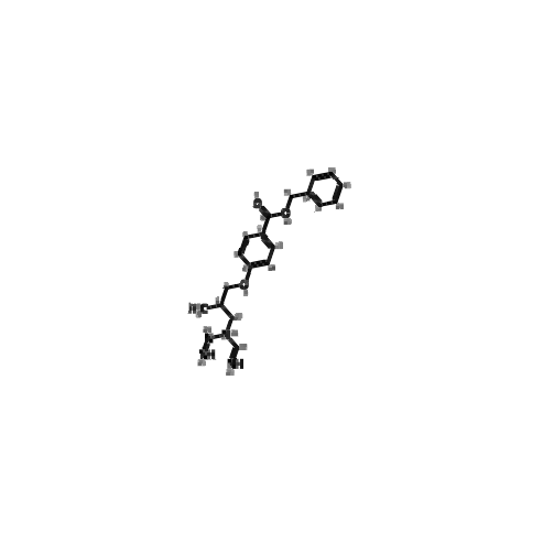 CC(COc1ccc(C(=O)OCc2ccccc2)cc1)CN(C=N)N=N